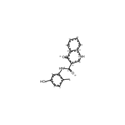 Cc1ccc(O)cc1NC(=O)c1c[nH]c2ccccc2c1=O